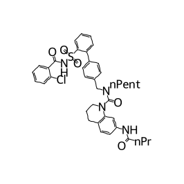 CCCCCN(Cc1ccc(-c2ccccc2S(=O)(=O)NC(=O)c2ccccc2Cl)cc1)C(=O)N1CCCc2ccc(NC(=O)CCC)cc21